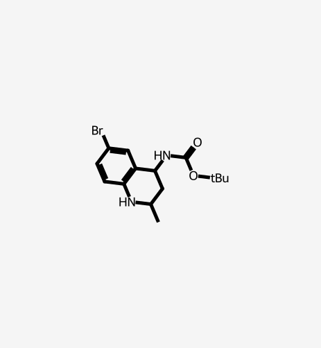 CC1CC(NC(=O)OC(C)(C)C)c2cc(Br)ccc2N1